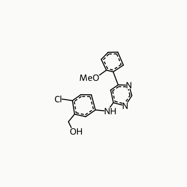 COc1ccccc1-c1cc(Nc2ccc(Cl)c(CO)c2)ncn1